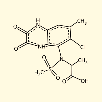 Cc1cc2[nH]c(=O)c(=O)[nH]c2c(N(C(C)C(=O)O)S(C)(=O)=O)c1Cl